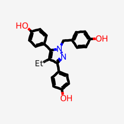 CCc1c(-c2ccc(O)cc2)nn(Cc2ccc(O)cc2)c1-c1ccc(O)cc1